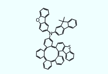 CC1(C)c2ccccc2-c2ccc(N(c3ccc4oc5ccccc5c4c3)c3ccc4c5ccccc5c5ccccc5c5ccccc5c5c(ccc6sc7ccccc7c65)c4c3)cc21